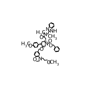 COCCCN1CCOc2ccc(CO[C@H]3CN(C(=O)OCc4ccccc4)[C@H](CC(=O)N(C)C(C)c4nc5ccccc5[nH]4)C[C@@H]3c3ccc(OC)cc3)cc21